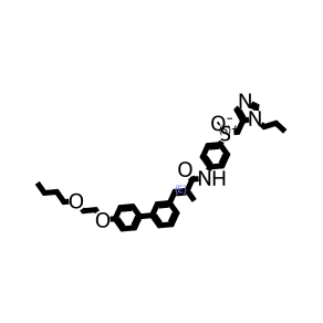 CCCCOCCOc1ccc(-c2cccc(/C=C(\C)C(=O)Nc3ccc([S@+]([O-])Cc4cncn4CCC)cc3)c2)cc1